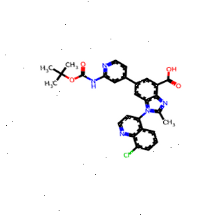 Cc1nc2c(C(=O)O)cc(-c3ccnc(NC(=O)OC(C)(C)C)c3)cc2n1-c1ccnc2c(Cl)cccc12